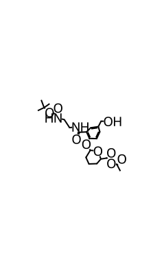 CC(=O)OC(=O)C1CCCC(Oc2ccc(CO)cc2C(=O)NCCNC(=O)OC(C)(C)C)O1